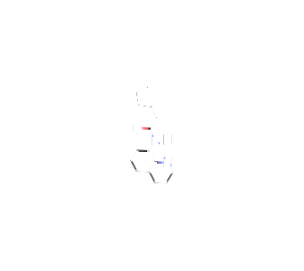 O=C(CC1CCCC1)Nc1cccc2cccnc12